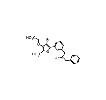 CC(=O)N(Cc1ccccc1)Cc1cccc(-c2sc(C(=O)O)c(OCC(=O)O)c2Br)c1